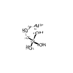 [Al+3].[F-].[O-][Si](O)(O)O.[OH-]